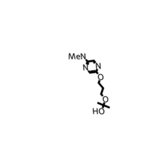 CNc1cnc(OCCCOC(C)(C)O)cn1